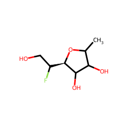 CC1O[C@H](C(F)CO)C(O)C1O